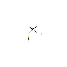 C[CH]CSC(C)(C)C